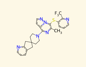 Cc1nc(N2CCC3(CC2)Cc2cccnc2C3)c2ccnn2c1Sc1cccnc1C(F)(F)F